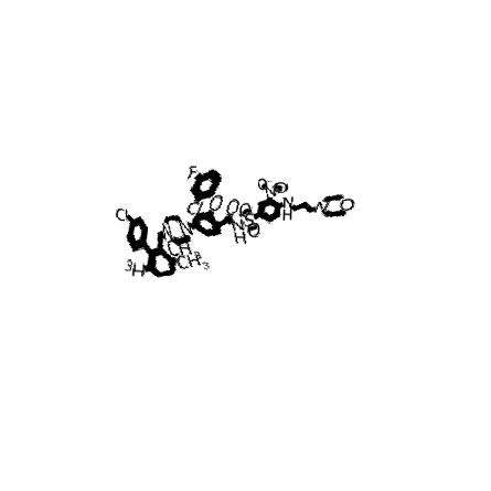 [3H]C1=C(c2ccc(Cl)cc2)C(CN2CCN(c3ccc(C(=O)NS(=O)(=O)c4ccc(NCCCN5CCOCC5)c([N+](=O)[O-])c4)c(Oc4ccc(F)cc4Cl)c3)CC2)C(C)(C)CC1